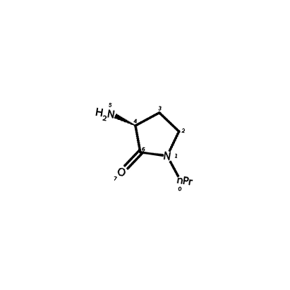 CCCN1CC[C@H](N)C1=O